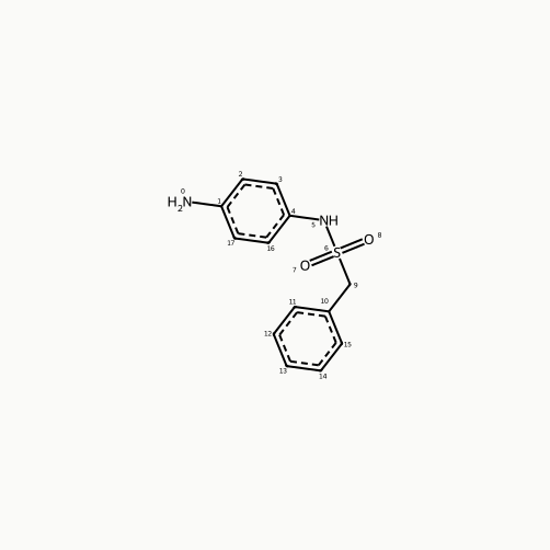 Nc1ccc(NS(=O)(=O)Cc2ccccc2)cc1